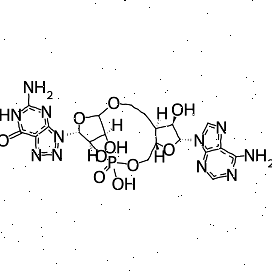 Nc1nc2c(nnn2[C@@H]2OC3OCC[C@H]4[C@@H](O)[C@H](n5cnc6c(N)ncnc65)O[C@@H]4COP(=O)(O)O[C@@H]2[C@@H]3O)c(=O)[nH]1